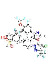 Cc1nc(-c2cc(F)c(OC(F)F)c(F)c2)c(-c2cc(-c3cc(F)c(CO)c(S(C)(=O)=O)c3)ccc2-n2cc(Cl)c(C(F)(F)F)n2)o1